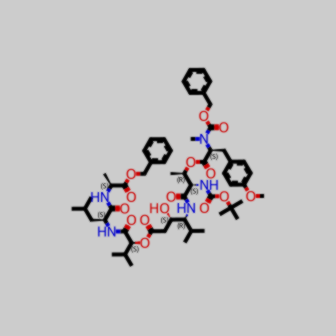 COc1ccc(C[C@@H](C(=O)O[C@H](C)[C@H](NC(=O)OC(C)(C)C)C(=O)N[C@H](C(C)C)[C@@H](O)CC(=O)O[C@H](C(=O)N[C@@H](CC(C)C)C(=O)N[C@@H](C)C(=O)OCc2ccccc2)C(C)C)N(C)C(=O)OCc2ccccc2)cc1